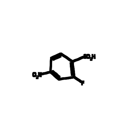 O=[N+]([O-])c1ccc(S(=O)(=O)O)c(F)c1